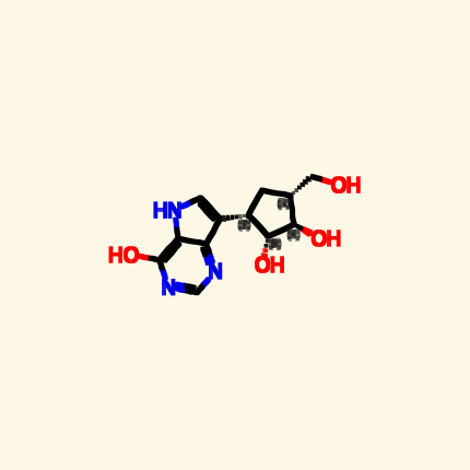 OC[C@H]1C[C@@H](c2c[nH]c3c(O)ncnc23)[C@@H](O)[C@@H]1O